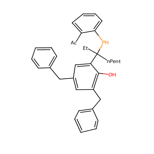 CCCCCC(CC)(Pc1ccccc1C(C)=O)c1cc(Cc2ccccc2)cc(Cc2ccccc2)c1O